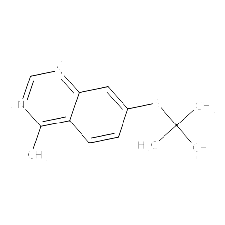 Cc1ncnc2cc(SC(C)(C)C)ccc12